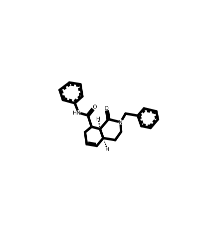 O=C(Nc1ccccc1)C1CC=C[C@@H]2CCN(Cc3ccccc3)C(=O)[C@H]12